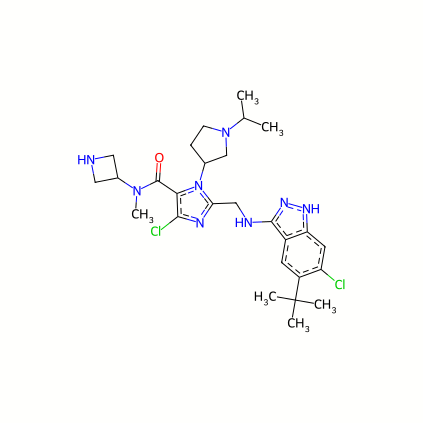 CC(C)N1CCC(n2c(CNc3n[nH]c4cc(Cl)c(C(C)(C)C)cc34)nc(Cl)c2C(=O)N(C)C2CNC2)C1